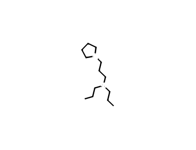 CCCN(CCC)CC[CH2][Ga]1[CH2]CC[CH2]1